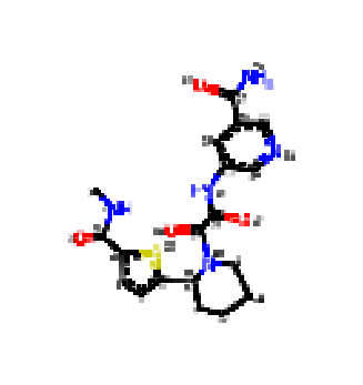 CNC(=O)c1ccc([C@@H]2CCCCN2C(=O)C(=O)Nc2cncc(C(N)=O)c2)s1